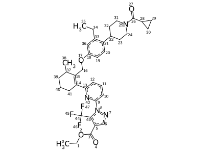 CCOC(=O)c1cnn(-c2cccc(C3=C(COc4ccc(C5CCN(C(=O)C6CC6)CC5)c(CC)c4)C(C)CCC3)n2)c1C(F)(F)F